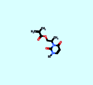 C=C(C)C(=O)OCC(C)n1c(=O)ccn(CC)c1=O